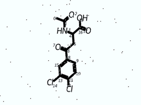 CC(=O)NC(CC(=O)c1ccc(Cl)c(Cl)c1)C(=O)O